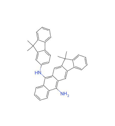 CC1(C)c2ccccc2-c2ccc(Nc3c4ccccc4c(N)c4cc5c(cc34)C(C)(C)c3ccccc3-5)cc21